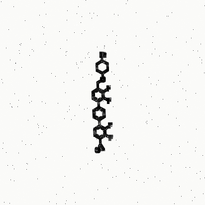 CCC1CCC(OCc2ccc(-c3ccc(-c4ccc(C5CO5)c(F)c4F)cc3)c(F)c2F)CC1